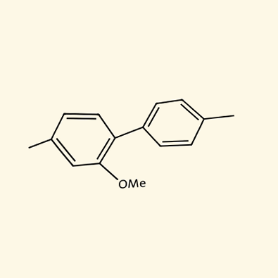 COc1cc(C)ccc1-c1ccc(C)cc1